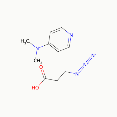 CN(C)c1ccncc1.[N-]=[N+]=NCCC(=O)O